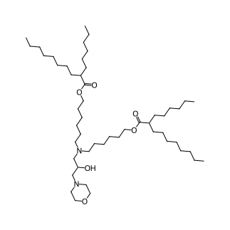 CCCCCCCCC(CCCCCC)C(=O)OCCCCCCN(CCCCCCOC(=O)C(CCCCCC)CCCCCCCC)CC(O)CN1CCOCC1